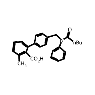 CCCCC(=O)N(Cc1ccc(-c2cccc(C)c2C(=O)O)cc1)c1ccccc1